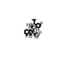 Cc1c(OC(=O)N[C@H](c2cccc(F)c2)C2CC2)c2cccc(F)c2c(=O)n1-c1cncnc1